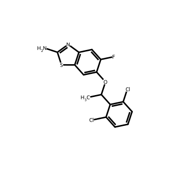 CC(Oc1cc2sc(N)nc2cc1F)c1c(Cl)cccc1Cl